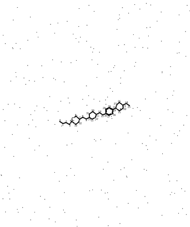 CCCCC1CCC(CCC2CCC(CCc3ccc(C4CCC(CC)CC4)cc3)CC2)CC1